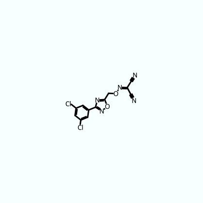 N#CC(C#N)=NOCc1nc(-c2cc(Cl)cc(Cl)c2)no1